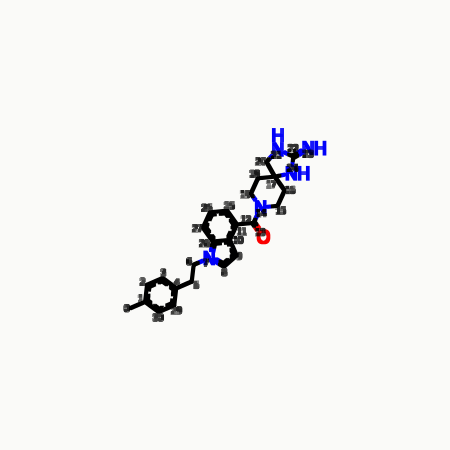 Cc1ccc(CCn2ccc3c(C(=O)N4CCC5(CC4)CNC(=N)N5)cccc32)cc1